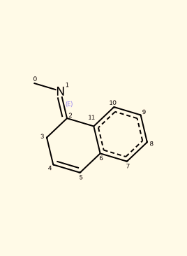 C/N=C1\CC=Cc2ccccc21